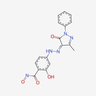 CC1=NN(c2ccccc2)C(=O)/C1=N\Nc1ccc(C(=O)N=O)c(O)c1